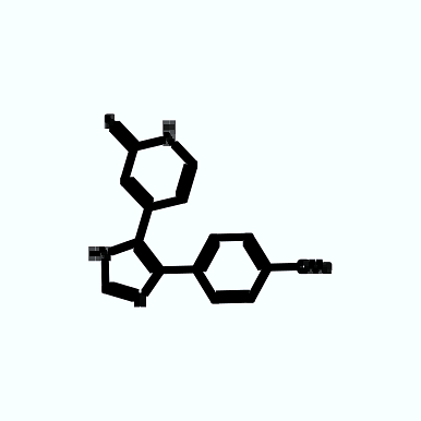 COc1ccc(-c2nc[nH]c2-c2cc[nH]c(=S)c2)cc1